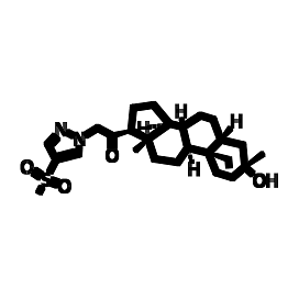 CC[C@]12CC[C@@](C)(O)C[C@H]1CC[C@H]1[C@@H]3CC[C@H](C(=O)Cn4cc(S(C)(=O)=O)cn4)[C@@]3(C)CC[C@@H]12